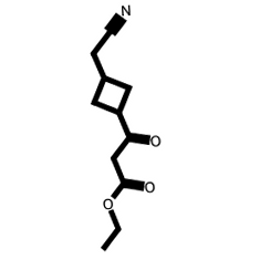 CCOC(=O)CC(=O)C1CC(CC#N)C1